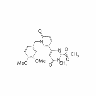 COc1ccc(Cn2cc(-c3cc(=O)n(C)c(S(C)(=O)=O)n3)ccc2=O)cc1OC